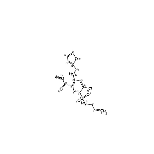 C=CCNS(=O)(=O)c1cc(C(=O)OC)c(NCc2ccco2)cc1Cl